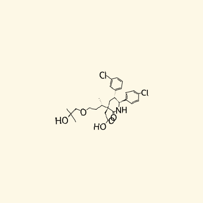 C[C@@H](CCOCC(C)(C)O)[C@]1(CC(=O)O)C[C@H](c2cccc(Cl)c2)[C@@H](c2ccc(Cl)cc2)NC1=O